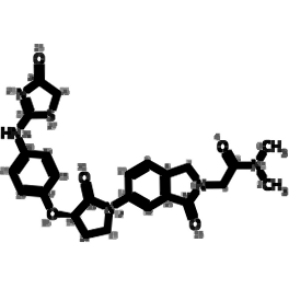 CN(C)C(=O)CN1Cc2ccc(N3CC[C@@H](Oc4ccc(NC5=NC(=O)CS5)cc4)C3=O)cc2C1=O